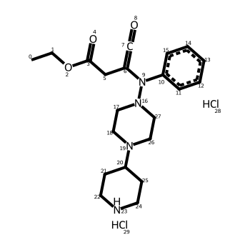 CCOC(=O)CC(=C=O)N(c1ccccc1)N1CCN(C2CCNCC2)CC1.Cl.Cl